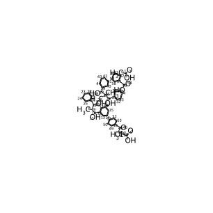 CC(=O)O.CC(=O)O.CC(C(O)c1ccccc1)C(O)c1ccccc1.CC(C)(C(O)c1ccccc1)C(O)c1ccccc1.O=C(O)c1ccccc1.O=C(O)c1ccccc1